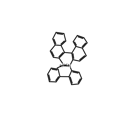 CCN(C)c1ccc2ccccc2c1-c1c(N(CC)c2ccccc2-c2ccccc2)ccc2ccccc12